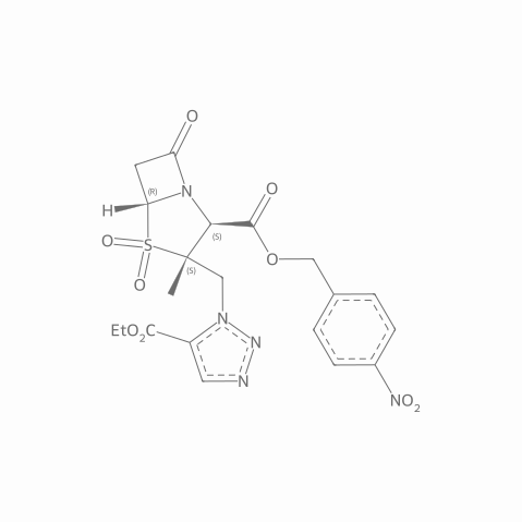 CCOC(=O)c1cnnn1C[C@@]1(C)[C@H](C(=O)OCc2ccc([N+](=O)[O-])cc2)N2C(=O)C[C@H]2S1(=O)=O